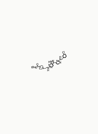 CC(C)(C)OC(=O)N1CCN(CCNc2ncc3c(-c4ccnc(NCc5cccc(Cl)c5)n4)n[nH]c3n2)CC1